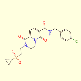 O=C(NCc1ccc(Cl)cc1)c1ccc2n(c1=O)CCN(CCS(=O)(=O)C1CC1)C2=O